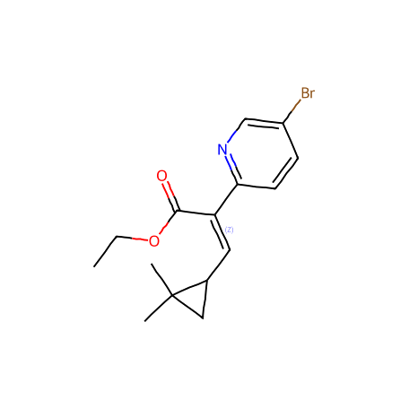 CCOC(=O)/C(=C\C1CC1(C)C)c1ccc(Br)cn1